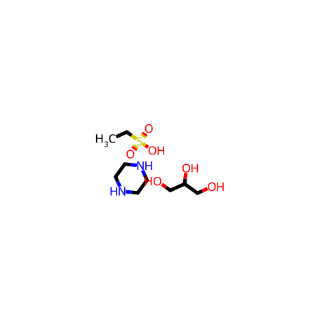 C1CNCCN1.CCS(=O)(=O)O.OCC(O)CO